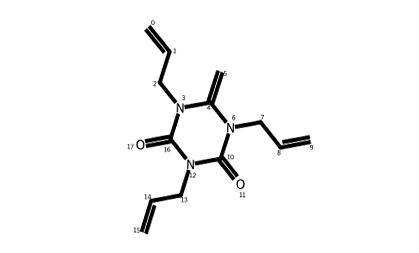 C=CCN1C(=C)N(CC=C)C(=O)N(CC=C)C1=O